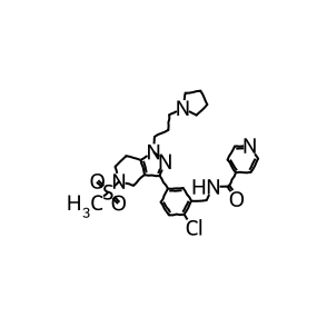 CS(=O)(=O)N1CCc2c(c(-c3ccc(Cl)c(CNC(=O)c4ccncc4)c3)nn2CCCN2CCCC2)C1